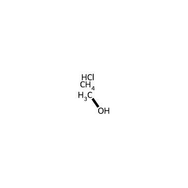 C.CO.Cl